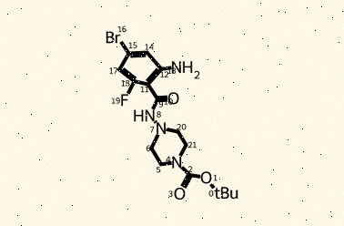 CC(C)(C)OC(=O)N1CCN(NC(=O)c2c(N)cc(Br)cc2F)CC1